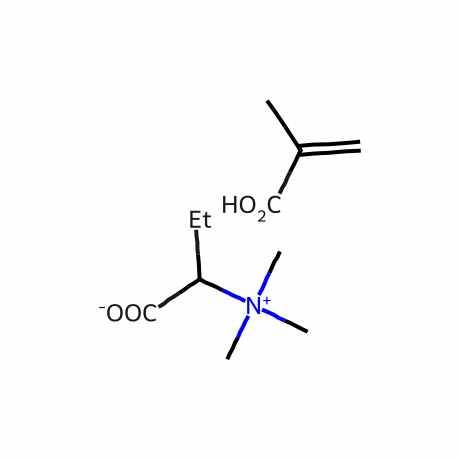 C=C(C)C(=O)O.CCC(C(=O)[O-])[N+](C)(C)C